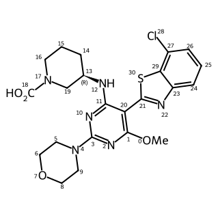 COc1nc(N2CCOCC2)nc(N[C@@H]2CCCN(C(=O)O)C2)c1-c1nc2cccc(Cl)c2s1